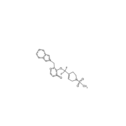 CS(=O)(=O)N1CC=C(C(F)(F)Oc2c(Cn3cc4ccccc4c3)occc2=O)CC1